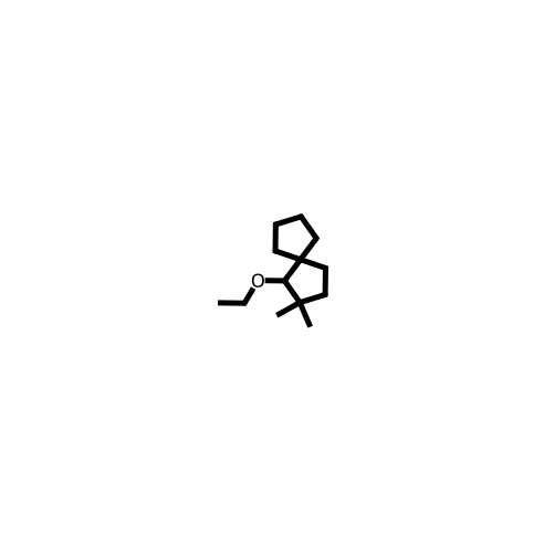 CCOC1C(C)(C)CCC12CCCC2